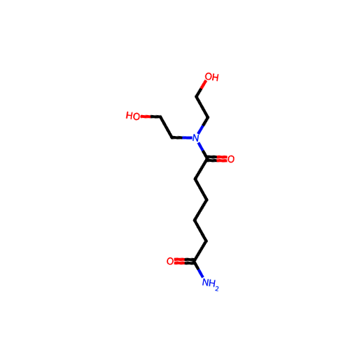 NC(=O)CCCCC(=O)N(CCO)CCO